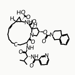 CC(C)[C@@H](NC(=O)c1cccnc1)C(=O)N[C@H]1CCCCC/C=C\[C@@H]2C[C@@]2(C(=O)O)NC(=O)[C@@H]2C[C@@H](OC(=O)N3CCc4ccccc4C3)CN2C1=O